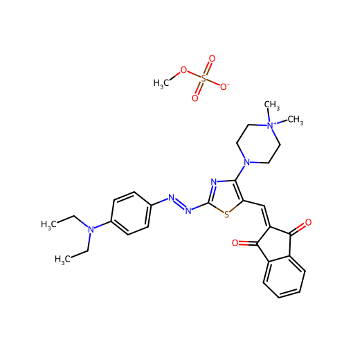 CCN(CC)c1ccc(N=Nc2nc(N3CC[N+](C)(C)CC3)c(C=C3C(=O)c4ccccc4C3=O)s2)cc1.COS(=O)(=O)[O-]